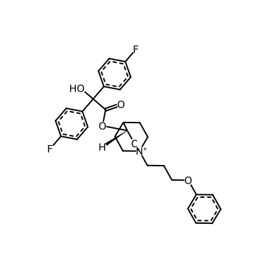 O=C(O[C@H]1C[N+]2(CCCOc3ccccc3)CCC1CC2)C(O)(c1ccc(F)cc1)c1ccc(F)cc1